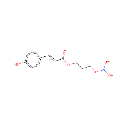 O=C(/C=C/c1ccc(O)cc1)OCCCON(O)O